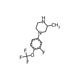 CC1CN(c2ccc(OC(F)(F)F)c(F)c2)CCN1